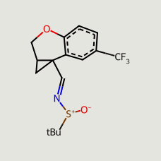 CC(C)(C)[S+]([O-])N=CC12CC1COc1ccc(C(F)(F)F)cc12